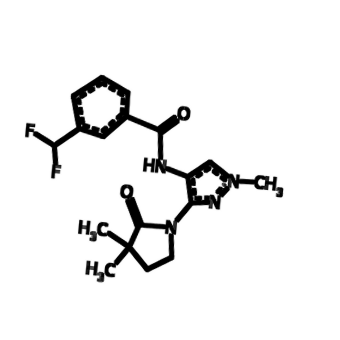 Cn1cc(NC(=O)c2cccc(C(F)F)c2)c(N2CCC(C)(C)C2=O)n1